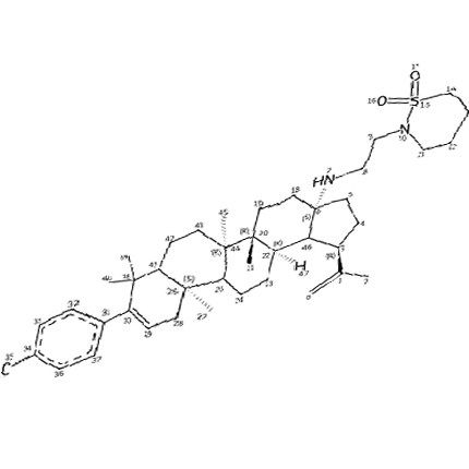 C=C(C)[C@@H]1CC[C@]2(NCCN3CCCCS3(=O)=O)CC[C@]3(C)[C@H](CCC4[C@@]5(C)CC=C(c6ccc(C(=O)O)cc6)C(C)(C)C5CC[C@]43C)C12